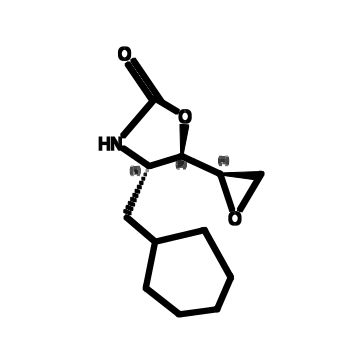 O=C1N[C@@H](CC2CCCCC2)[C@H]([C@H]2CO2)O1